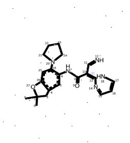 CC1(C)Cc2cc(NC(=O)/C(C=N)=C3\N=CC=CN3)c(N3CCCC3)cc2O1